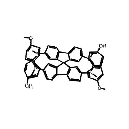 COc1ccc(N(C)c2ccc3c(c2)C2(c4cc(N(C)c5ccc(O)cc5)ccc4-3)c3cc(N(C)c4ccc(O)cc4)ccc3-c3ccc(N(C)c4ccc(OC)cc4)cc32)cc1